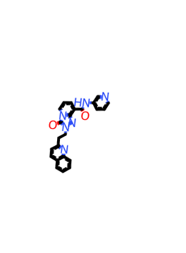 O=C(Nc1cccnc1)c1cccn2c(=O)n(CCc3ccc4ccccc4n3)nc12